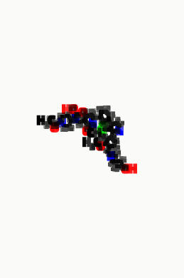 COc1cc(-c2nccc(-c3cccc(-c4ccc(CN(C(=O)O)C5CCN(C(C)=O)CC5)c(OC)n4)c3Cl)c2Cl)ccc1CN1CC2(CC(O)C2)C1